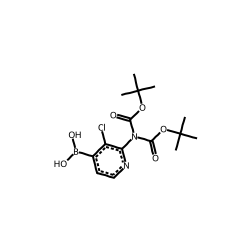 CC(C)(C)OC(=O)N(C(=O)OC(C)(C)C)c1nccc(B(O)O)c1Cl